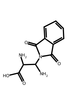 NC(C(=O)O)C(N)N1C(=O)c2ccccc2C1=O